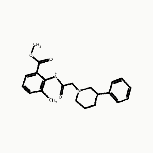 COC(=O)c1cccc(C)c1NC(=O)CN1CCCC(c2ccccc2)C1